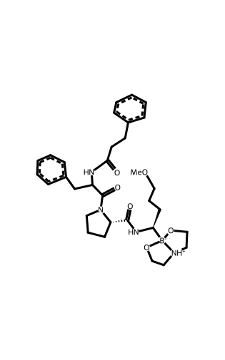 COCCC[C@H](NC(=O)[C@@H]1CCCN1C(=O)C(Cc1ccccc1)NC(=O)CCc1ccccc1)[B-]12OCC[NH+]1CCO2